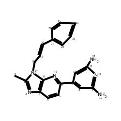 Cc1nc2ccc(-c3cc(N)nc(N)c3)nc2n1C/C=C/c1ccccc1